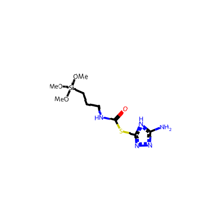 CO[Si](CCCNC(=O)Sc1nnc(N)[nH]1)(OC)OC